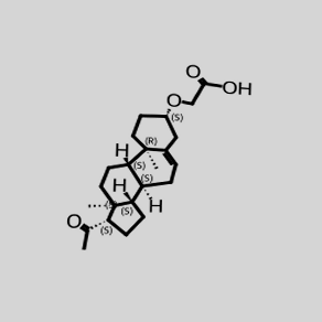 CC(=O)[C@H]1CC[C@H]2[C@@H]3CC=C4C[C@@H](OCC(=O)O)CC[C@]4(C)[C@H]3CC[C@]12C